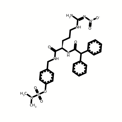 CN(C)S(=O)(=O)Oc1ccc(CNC(=O)[C@@H](CCCN/C(N)=N\[N+](=O)[O-])NC(=O)C(c2ccccc2)c2ccccc2)cc1